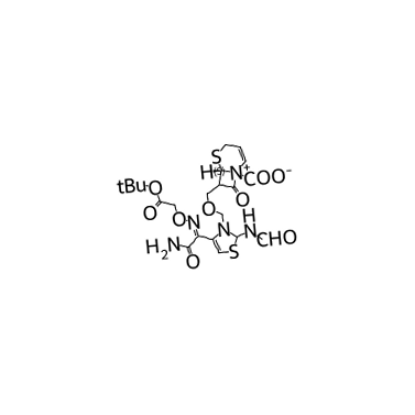 CC(C)(C)OC(=O)CON=C(C(N)=O)C1=CSC(NC=O)N1COCC1C(=O)[N+]2(C(=O)[O-])C=CCS[C@@H]12